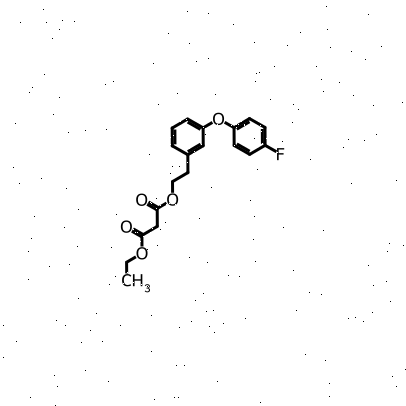 CCOC(=O)CC(=O)OCCc1cccc(Oc2ccc(F)cc2)c1